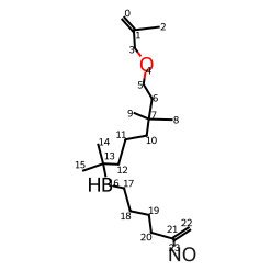 C=C(C)COCCC(C)(C)CCCC(C)(C)BCCCCC(=C)N=O